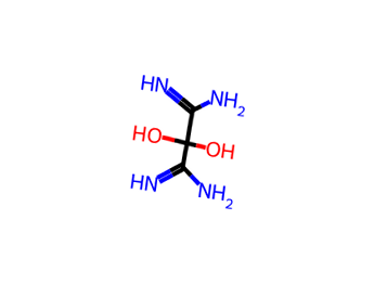 N=C(N)C(O)(O)C(=N)N